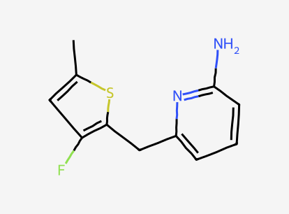 Cc1cc(F)c(Cc2cccc(N)n2)s1